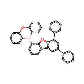 c1ccc(-c2cc(-c3ccccc3)c3oc4c(B5c6ccccc6Oc6ccccc65)cccc4c3c2)cc1